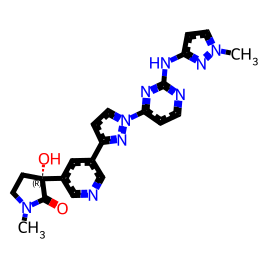 CN1CC[C@@](O)(c2cncc(-c3ccn(-c4ccnc(Nc5ccn(C)n5)n4)n3)c2)C1=O